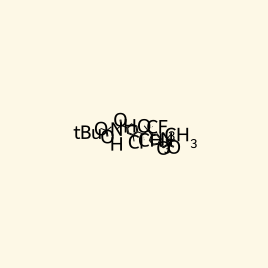 C[C@H](c1ccc(C(=O)NCC(=O)OC(C)(C)C)cc1Cl)[C@@](O)(c1ccc2oc(=O)n(C)c2c1)C(F)(F)F